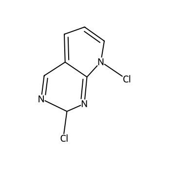 ClC1N=CC2=CC=CN(Cl)C2=N1